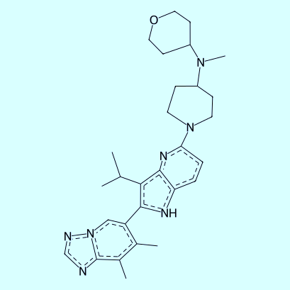 Cc1c(-c2[nH]c3ccc(N4CCC(N(C)C5CCOCC5)CC4)nc3c2C(C)C)cn2ncnc2c1C